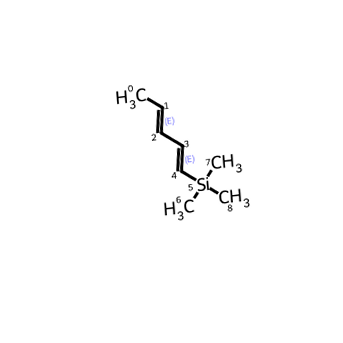 C/C=C/C=C/[Si](C)(C)C